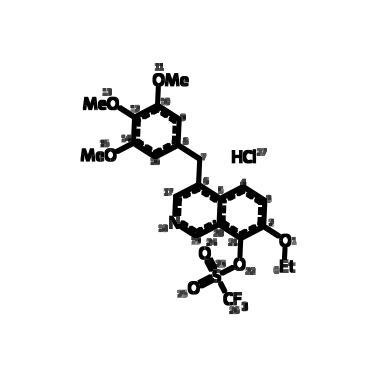 CCOc1ccc2c(Cc3cc(OC)c(OC)c(OC)c3)cncc2c1OS(=O)(=O)C(F)(F)F.Cl